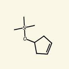 C[Si](C)(C)OC1CC=CC1